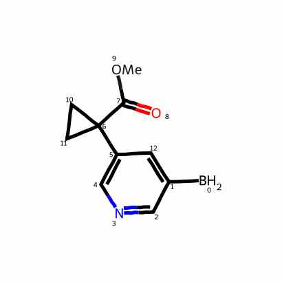 Bc1cncc(C2(C(=O)OC)CC2)c1